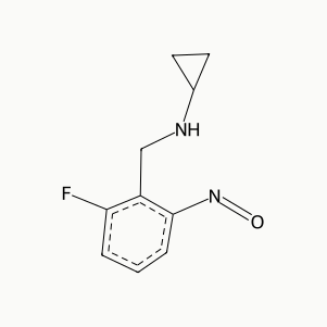 O=Nc1cccc(F)c1CNC1CC1